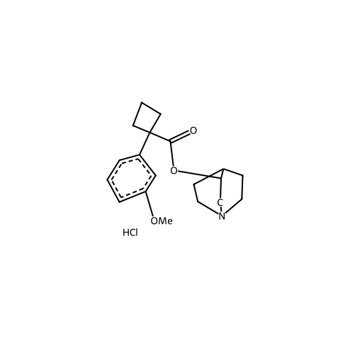 COc1cccc(C2(C(=O)OC3CN4CCC3CC4)CCC2)c1.Cl